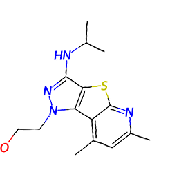 Cc1cc(C)c2c(n1)sc1c(NC(C)C)nn(CCO)c12